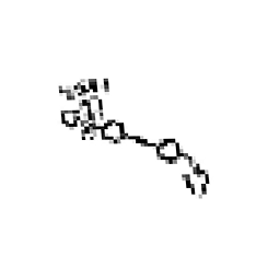 O=C(NO)[C@@H]1CCCN1S(=O)(=O)c1ccc(C#Cc2ccc(CN3CCOCC3)cc2)cc1